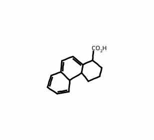 O=C(O)C1CCCC2C1=CC=C1C=CC=CC12